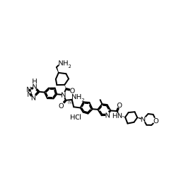 Cc1cc(C(=O)N[C@H]2CC[C@H](N3CCOCC3)CC2)ncc1-c1ccc(C[C@H](N)C(=O)N(c2ccc(-c3nnn[nH]3)cc2)C(=O)[C@H]2CC[C@H](CN)CC2)cc1.Cl